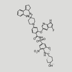 CC(C)c1ccccc1C1=CCCC1N1CC2(CCN(c3ccc(C(=O)NS(=O)(=O)c4cc5c(c([N+](=O)[O-])c4)N[C@@H]([C@H]4CC[C@](C)(O)CC4)CO5)c(Oc4cnc5[nH]cc(F)c5c4)c3)CC2)C1